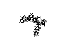 CC1(C)c2ccccc2-c2cc3c(cc21)-c1cccc(C2C=CC(C4C=C(C5C=CC(c6ccccc6)=CC5)NC(c5ccccc5)N4)=CC2)c1C3(C)C